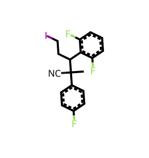 CC(C#N)(c1ccc(F)cc1)C(CCI)c1c(F)cccc1F